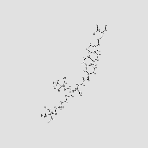 CCC(CCCC1CCC2C3CC=C4CC(SSCCC(=O)N(CCCCNCCC(N)(CC)CC)CCC(N)(CC)CC)CCC4(C)C3CCC12C)C(C)C